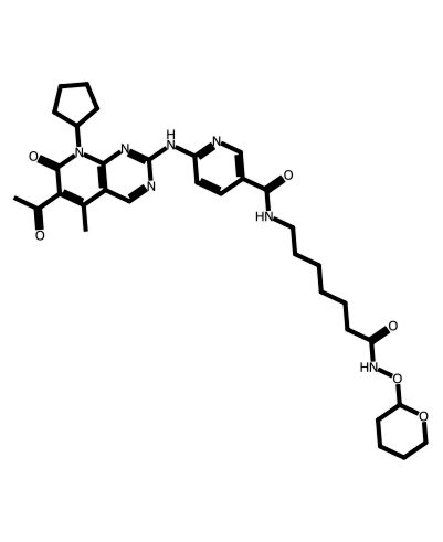 CC(=O)c1c(C)c2cnc(Nc3ccc(C(=O)NCCCCCCC(=O)NOC4CCCCO4)cn3)nc2n(C2CCCC2)c1=O